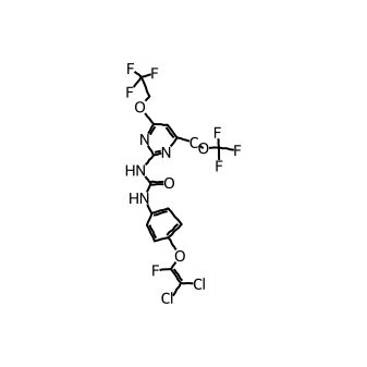 O=C(Nc1ccc(OC(F)=C(Cl)Cl)cc1)Nc1nc(COC(F)(F)F)cc(OCC(F)(F)F)n1